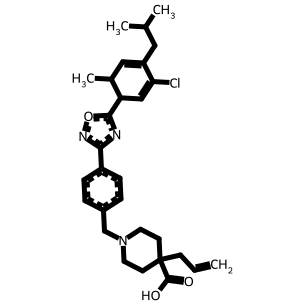 C=CCC1(C(=O)O)CCN(Cc2ccc(-c3noc(C4C=C(Cl)C(CC(C)C)=CC4C)n3)cc2)CC1